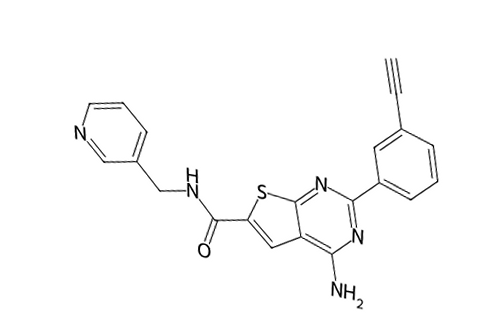 C#Cc1cccc(-c2nc(N)c3cc(C(=O)NCc4cccnc4)sc3n2)c1